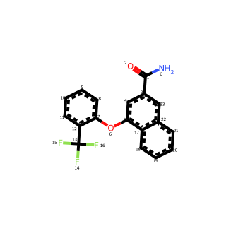 NC(=O)c1cc(Oc2ccccc2C(F)(F)F)c2ccccc2c1